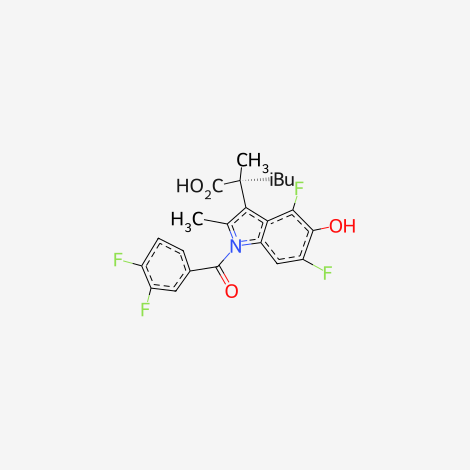 CCC(C)[C@@](C)(C(=O)O)c1c(C)n(C(=O)c2ccc(F)c(F)c2)c2cc(F)c(O)c(F)c12